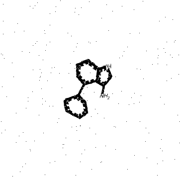 Nc1c[nH]c2cccc(-c3ccccc3)c12